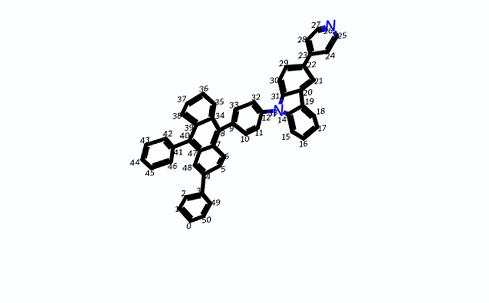 c1ccc(-c2ccc3c(-c4ccc(-n5c6ccccc6c6cc(-c7ccncc7)ccc65)cc4)c4ccccc4c(-c4ccccc4)c3c2)cc1